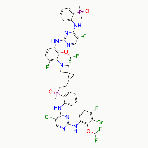 CP(C)(=O)c1ccccc1Nc1nc(Nc2ccc(F)c(N3CC4(CC4CCP(C)(=O)c4ccccc4Nc4nc(Nc5ccc(F)c(Br)c5OC(F)F)ncc4Cl)C3)c2OC(F)F)ncc1Cl